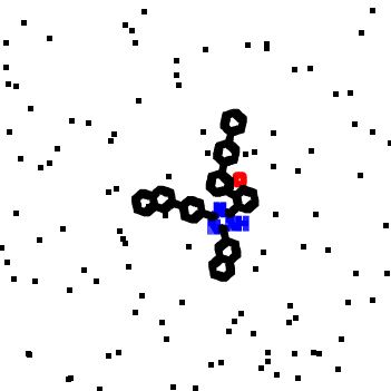 c1ccc(-c2ccc(-c3cccc4c3oc3cccc(C5N=C(c6ccc(-c7ccc8ccccc8c7)cc6)N=C(c6ccc7ccccc7c6)N5)c34)cc2)cc1